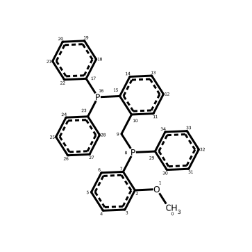 COc1ccccc1P(Cc1ccccc1P(c1ccccc1)c1ccccc1)c1ccccc1